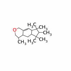 CC1COCC2=CC3C(CC21)C(C)(C)C(C)C3(C)C